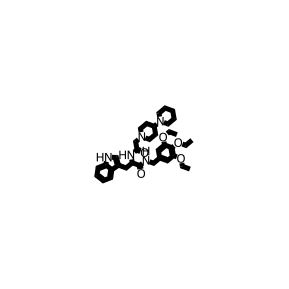 CCOc1cc(CNC(=O)C(Cc2c[nH]c3ccccc23)NC(=O)CN2CCC(N3CCCCC3)CC2)cc(OCC)c1OCC